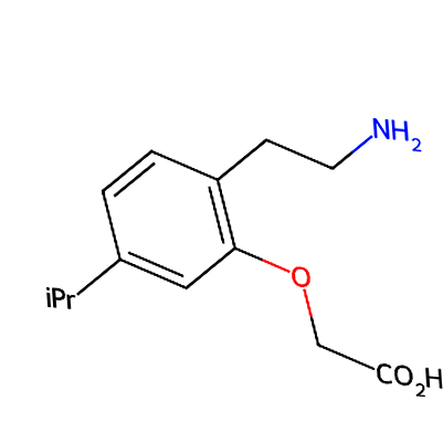 CC(C)c1ccc(CCN)c(OCC(=O)O)c1